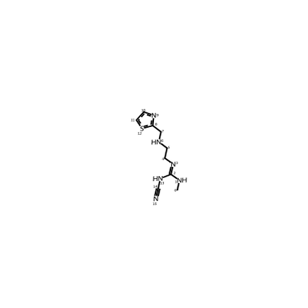 CN/C(=N/CCNCc1nccs1)NC#N